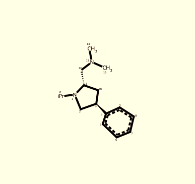 CC(C)N1C[C@H](c2ccccc2)C[C@H]1CN(C)C